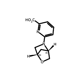 O=C(O)c1cccc(N2C[C@@H]3C[C@H]2CO3)n1